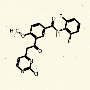 COc1ccc(C(=O)Nc2c(F)cccc2F)cc1C(=O)Cc1ccnc(Cl)n1